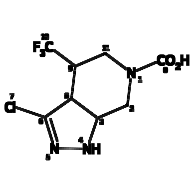 O=C(O)N1CC2NN=C(Cl)C2C(C(F)(F)F)C1